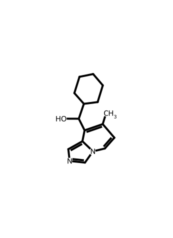 Cc1ccn2cncc2c1C(O)C1CCCCC1